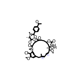 COc1cc2cc(c1Cl)N(C)C(=O)C[C@H](OC(=O)[C@H](C)N(C)C(=O)c1ccc(C(C)=O)cc1)C1(C)OC1CC1C[C@@](O)(NC(=O)O1)[C@H](OC)/C=C/C=C(\C)C2